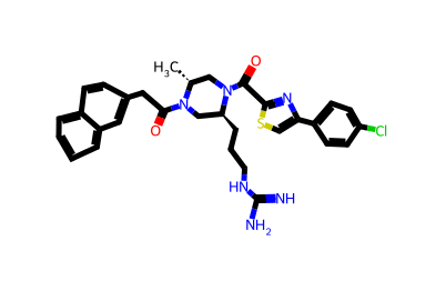 C[C@@H]1CN(C(=O)c2nc(-c3ccc(Cl)cc3)cs2)[C@@H](CCCNC(=N)N)CN1C(=O)Cc1ccc2ccccc2c1